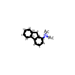 CC(=O)N(C(C)=O)c1cccc2c1Cc1ccccc1-2